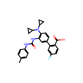 Cc1ccc(NC(=O)Nc2cc(-c3cc(F)ccc3C(=O)O)ccc2N(C2CC2)C2CC2)cc1